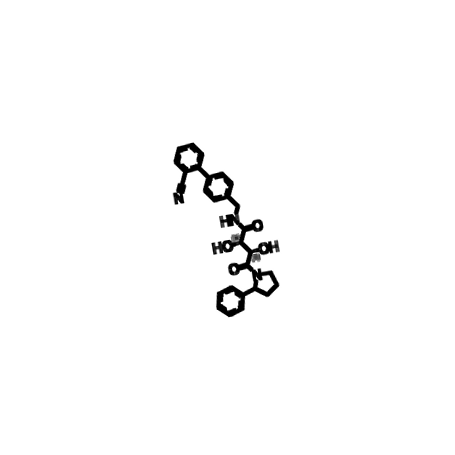 N#Cc1ccccc1-c1ccc(CNC(=O)[C@H](O)[C@@H](O)C(=O)N2CCCC2c2ccccc2)cc1